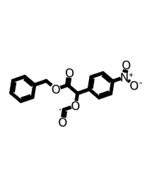 O=[C]OC(C(=O)OCc1ccccc1)c1ccc([N+](=O)[O-])cc1